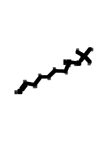 CC(C)(C)ONCCCCCC=O